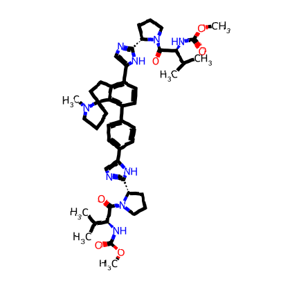 COC(=O)N[C@H](C(=O)N1CCC[C@H]1c1ncc(-c2ccc(-c3ccc(-c4cnc([C@@H]5CCCN5C(=O)[C@@H](NC(=O)OC)C(C)C)[nH]4)c4c3C3(CCCN3C)CC4)cc2)[nH]1)C(C)C